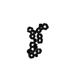 c1ccc2c(c1)Sc1ccccc1C21c2ccccc2-c2ccc(N(c3ccc4c5ccccc5n(-c5ccc6c(c5)oc5ccccc56)c4c3)c3cccc4ccccc34)c3cccc1c23